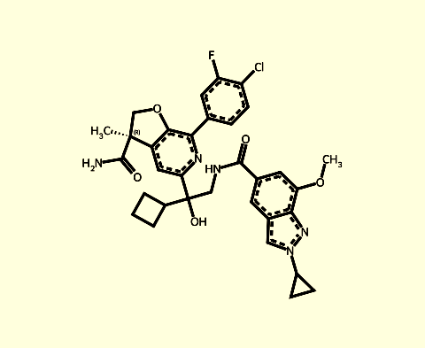 COc1cc(C(=O)NCC(O)(c2cc3c(c(-c4ccc(Cl)c(F)c4)n2)OC[C@]3(C)C(N)=O)C2CCC2)cc2cn(C3CC3)nc12